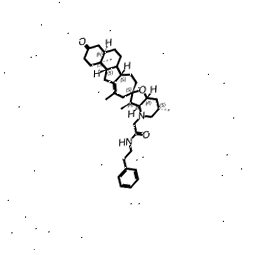 CC1=C2C[C@H]3C(CC[C@@H]4CC(=O)CC[C@@]43C)[C@@H]2CC[C@@]2(C1)O[C@@H]1C[C@H](C)CN(CC(=O)NCCc3ccccc3)[C@H]1[C@H]2C